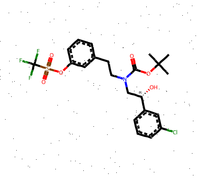 CC(C)(C)OC(=O)N(CCc1cccc(OS(=O)(=O)C(F)(F)F)c1)C[C@H](O)c1cccc(Cl)c1